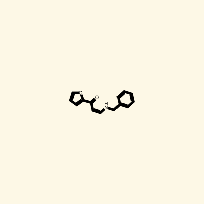 O=C(/C=C\NCc1ccccc1)c1ccco1